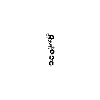 CN(CCC(=O)N(C)c1ccc(N2CCN(c3ccncc3)CC2)cc1)Sc1cccc(Cl)c1Cl